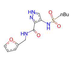 CCCCS(=O)(=O)Nc1c[nH]nc1C(=O)NCc1ccco1